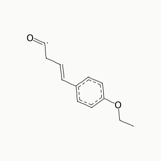 CCOc1ccc(C=CC[C]=O)cc1